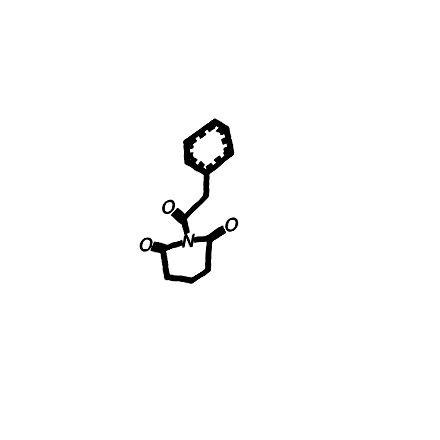 O=C1CCCC(=O)N1C(=O)Cc1ccccc1